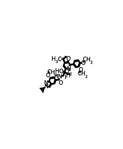 COc1ccc(-c2nc([C@](O)(CNC(=O)c3cc(OC)c4nn(C5CC5)cc4c3)C(F)(F)F)cc3c2OC[C@H]3C)cc1OC